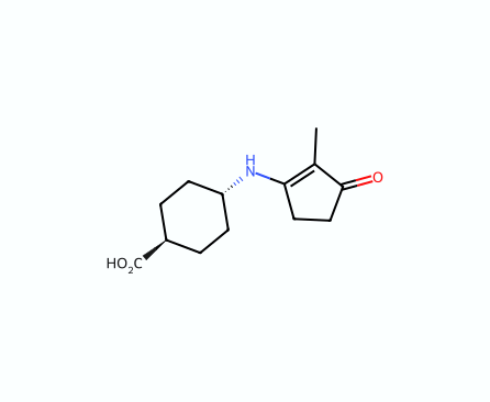 CC1=C(N[C@H]2CC[C@H](C(=O)O)CC2)CCC1=O